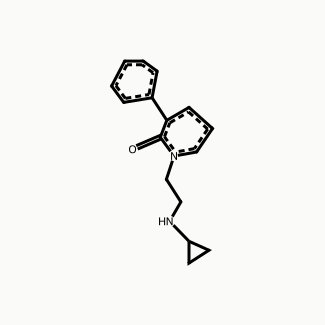 O=c1c(-c2ccccc2)cccn1CCNC1CC1